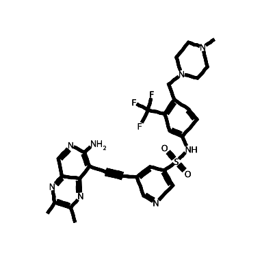 Cc1nc2cnc(N)c(C#Cc3cncc(S(=O)(=O)Nc4ccc(CN5CCN(C)CC5)c(C(F)(F)F)c4)c3)c2nc1C